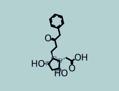 O=C(O)C[C@H]1[C@H](CCC(=O)Cc2ccccc2)[C@@H](O)C[C@H]1O